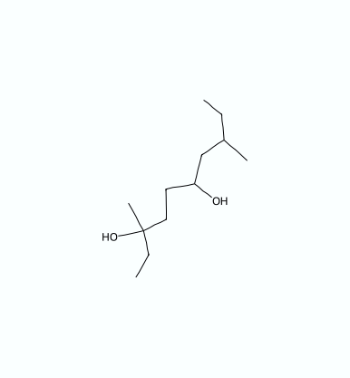 CCC(C)CC(O)CCC(C)(O)CC